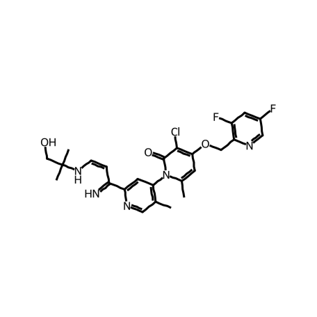 Cc1cnc(C(=N)/C=C\NC(C)(C)CO)cc1-n1c(C)cc(OCc2ncc(F)cc2F)c(Cl)c1=O